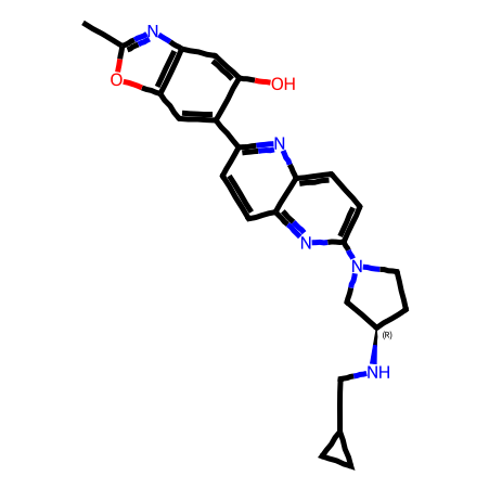 Cc1nc2cc(O)c(-c3ccc4nc(N5CC[C@@H](NCC6CC6)C5)ccc4n3)cc2o1